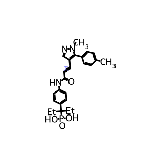 CCC(CC)(c1ccc(NC(=O)/C=C/c2cnn(C)c2-c2ccc(C)cc2)cc1)P(=O)(O)O